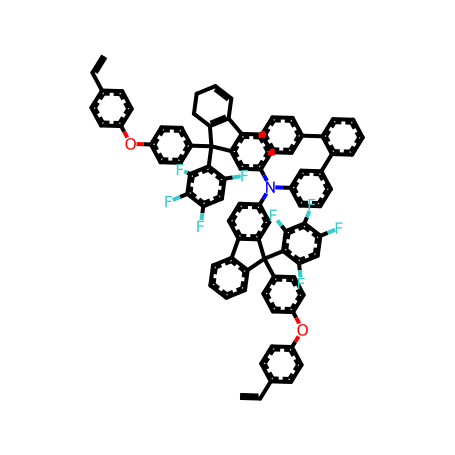 C=Cc1ccc(Oc2ccc(C3(c4c(F)cc(F)c(F)c4F)C4=C(C=CCC4)c4ccc(N(c5cccc(-c6ccccc6-c6ccccc6)c5)c5ccc6c(c5)C(c5ccc(Oc7ccc(C=C)cc7)cc5)(c5c(F)cc(F)c(F)c5F)c5ccccc5-6)cc43)cc2)cc1